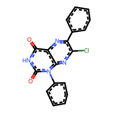 O=c1[nH]c(=O)n(-c2ccccc2)c2nc(Cl)c(-c3ccccc3)nc12